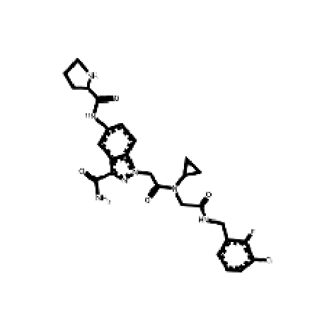 NC(=O)c1nn(CC(=O)N(CC(=O)NCc2cccc(Cl)c2F)C2CC2)c2ccc(NC(=O)C3CCCN3)cc12